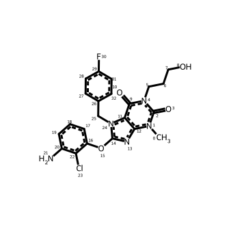 Cn1c(=O)n(CCCO)c(=O)c2c1nc(Oc1cccc(N)c1Cl)n2Cc1ccc(F)cc1